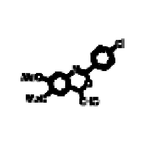 COc1cc2c(cc1OC)C(C=O)OC(c1ccc(Cl)cc1)=N2